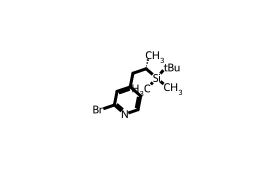 C[C@@H](Cc1ccnc(Br)c1)[Si](C)(C)C(C)(C)C